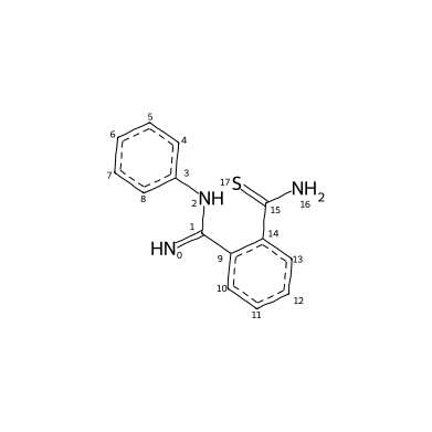 N=C(Nc1ccccc1)c1ccccc1C(N)=S